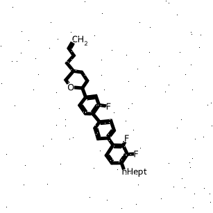 C=CCCC1CCC(c2ccc(-c3ccc(-c4ccc(CCCCCCC)c(F)c4F)cc3)c(F)c2)OC1